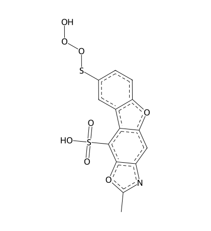 Cc1nc2cc3oc4ccc(SOOO)cc4c3c(S(=O)(=O)O)c2o1